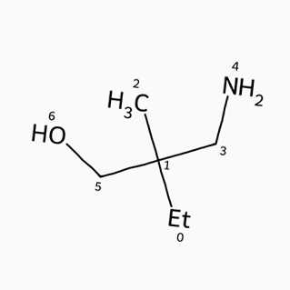 CCC(C)(CN)CO